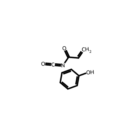 C=CC(=O)N=C=O.Oc1ccccc1